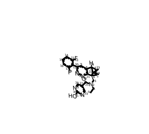 CCN(C[C@@]12CC[C@@H](c3cc(-c4c(F)cccc4F)nnc31)C2(C)C)C(=O)c1cnc(O)nc1